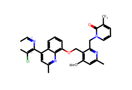 C/C=N\C(=C(/C)Cl)c1cc(C)nc2c(OCc3c(OC)cc(C)nc3Cn3cccc(C(F)(F)F)c3=O)cccc12